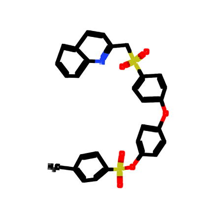 Cc1ccc(S(=O)(=O)Oc2ccc(Oc3ccc(S(=O)(=O)Cc4ccc5ccccc5n4)cc3)cc2)cc1